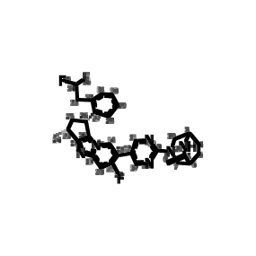 C=C1NC2CCC1CN(c1ncc(-c3cn4c5c(nc4cc3F)[C@H](C)C[C@@H]5c3ccccc3CC(F)F)cn1)C2